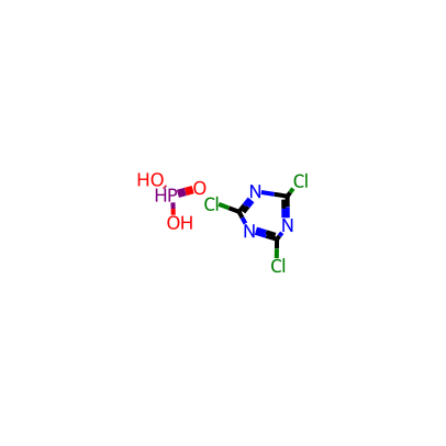 Clc1nc(Cl)nc(Cl)n1.O=[PH](O)O